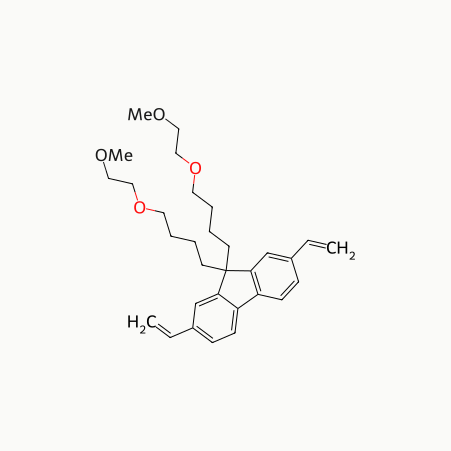 C=Cc1ccc2c(c1)C(CCCCOCCOC)(CCCCOCCOC)c1cc(C=C)ccc1-2